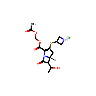 CC(O)C1C(=O)N2C(C(=O)OCOC(=O)C(C)(C)C)=C(SC3CNC3)C[C@H]12.Cl